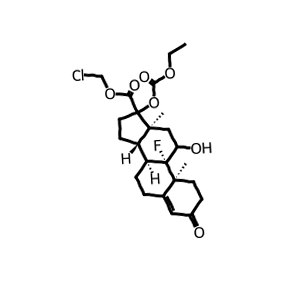 CCOC(=O)OC1(C(=O)OCCl)CC[C@H]2[C@@H]3CCC4=CC(=O)CC[C@]4(C)[C@]3(F)C(O)C[C@@]21C